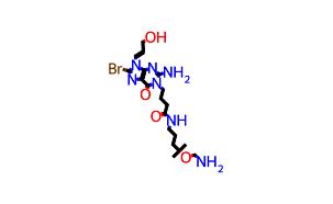 CC(C)(CCCNC(=O)CCCn1c(N)nc2c(nc(Br)n2C=CCO)c1=O)OCN